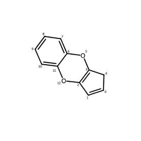 C1=CC2=C(C1)Oc1ccccc1O2